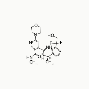 CNC(=O)c1cnc(N2CCOCC2)cc1C(=N)N[C@H](C)c1cccc(C(F)(F)CO)c1